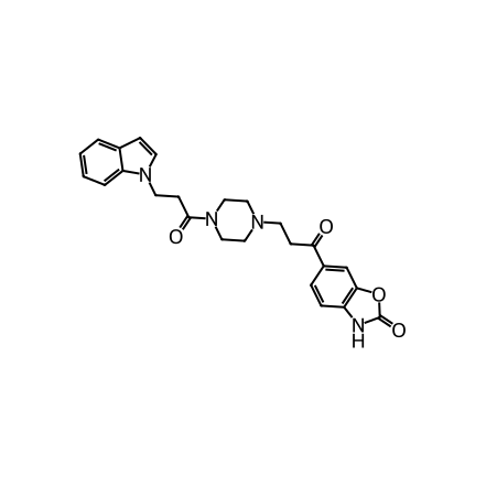 O=C(CCN1CCN(C(=O)CCn2ccc3ccccc32)CC1)c1ccc2[nH]c(=O)oc2c1